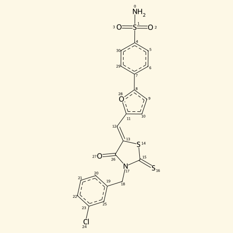 NS(=O)(=O)c1ccc(-c2ccc(/C=C3\SC(=S)N(Cc4cccc(Cl)c4)C3=O)o2)cc1